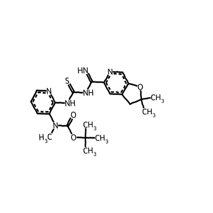 CN(C(=O)OC(C)(C)C)c1cccnc1NC(=S)NC(=N)c1cc2c(cn1)OC(C)(C)C2